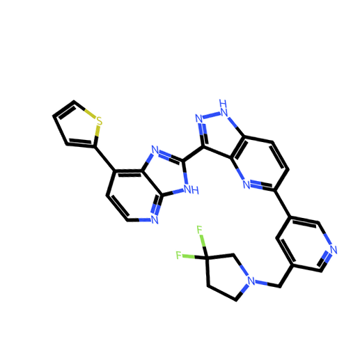 FC1(F)CCN(Cc2cncc(-c3ccc4[nH]nc(-c5nc6c(-c7cccs7)ccnc6[nH]5)c4n3)c2)C1